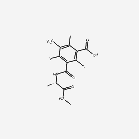 CNC(=O)[C@H](C)NC(=O)c1c(I)c(N)c(I)c(C(=O)O)c1I